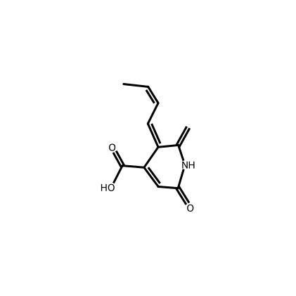 C=c1[nH]c(=O)cc(C(=O)O)/c1=C/C=C\C